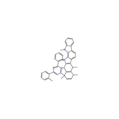 Cc1ccccc1-c1cc(C2(C)C=CC(C)C3=C2C(C)c2[nH]c4c(ccc5c6ccccc6n(C)c54)c2C3C)nc(-c2ccccc2)n1